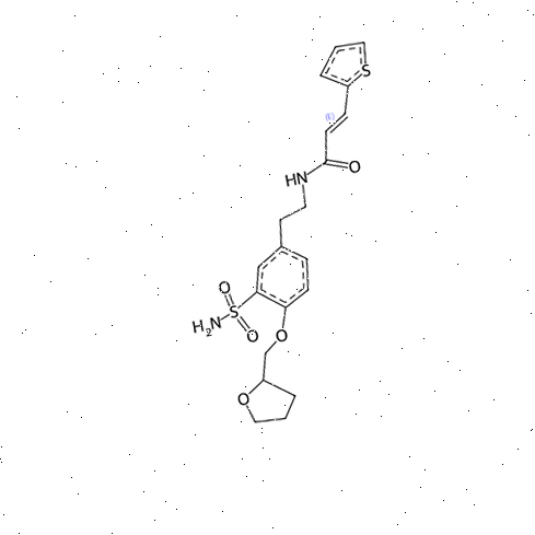 NS(=O)(=O)c1cc(CCNC(=O)/C=C/c2cccs2)ccc1OCC1CCCO1